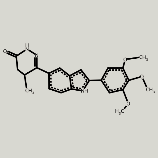 COc1cc(-c2cc3cc(C4=NNC(=O)CC4C)ccc3[nH]2)cc(OC)c1OC